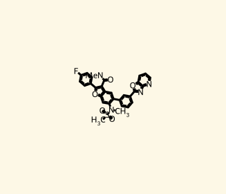 CNC(=O)c1c(-c2ccc(F)cc2)oc2cc(N(C)S(C)(=O)=O)c(-c3cccc(-c4nc5ncccc5o4)c3)cc12